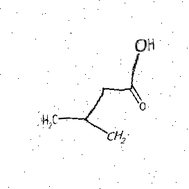 [CH2]C([CH2])CC(=O)O